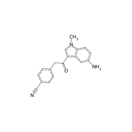 Cn1cc(C(=O)Cc2ccc(C#N)cc2)c2cc(N)ccc21